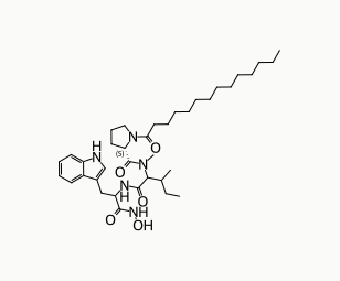 CCCCCCCCCCCCCC(=O)N1CCC[C@H]1C(=O)N(C)C(C(=O)NC(Cc1c[nH]c2ccccc12)C(=O)NO)C(C)CC